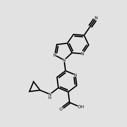 N#Cc1cnc2c(cnn2-c2cc(NC3CC3)c(C(=O)O)cn2)c1